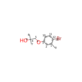 Cc1cc(OCC(C)(C)O)ccc1Br